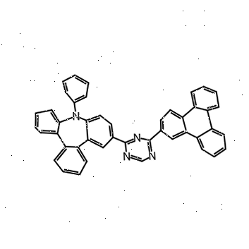 c1ccc(N2c3ccccc3-c3ccccc3-c3cc(-c4ncnc(-c5ccc6c7ccccc7c7ccccc7c6c5)n4)ccc32)cc1